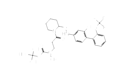 CN(CCC(=O)N1CCCCC1ONc1ccc(-c2ccccc2OC(F)(F)F)c(Cl)c1)C(=O)OC(C)(C)C